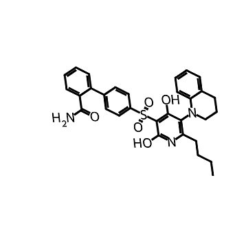 CCCCc1nc(O)c(S(=O)(=O)c2ccc(-c3ccccc3C(N)=O)cc2)c(O)c1N1CCCc2ccccc21